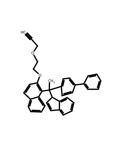 C#CCOCCOc1ccc2ccccc2c1C(C)(c1ccc(-c2ccccc2)cc1)C1C=Cc2ccccc21